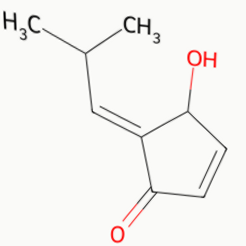 CC(C)C=C1C(=O)C=CC1O